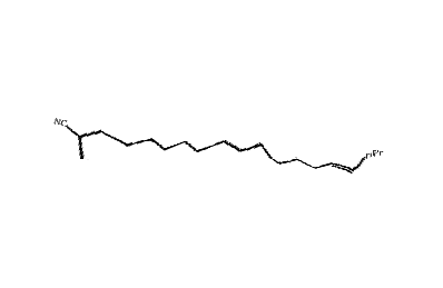 [CH2]C(C#N)CCCCCCCCCCCCC=CCCC